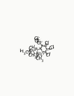 C[N+](C)(C)CC[N+]1(C)Cc2c(Cl)c(Cl)c(Cl)c(Cl)c2C1.[Cl-].[Cl-]